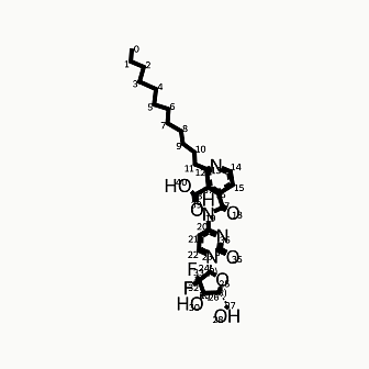 CCCCCCCCCCCCc1nccc(C(=O)Nc2ccn([C@@H]3O[C@H](CO)[C@@H](O)C3(F)F)c(=O)n2)c1C(=O)O